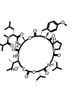 CC[C@H](C)[C@H]1NC(=O)[C@@H](NC(=O)[C@@H](CC(C)C)N(C)C(=O)C(C)C)[C@@H](C)OC(=O)[C@H](Cc2ccc(OC)cc2)N(C)C(=O)[C@@H]2CCCN2C(=O)[C@H](CC(C)C)NC(=O)[C@H](C(C)C)OC(=O)C[C@@H]1O